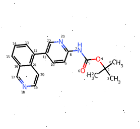 CC(C)(C)OC(=O)Nc1ccc(-c2cccc3cnccc23)cn1